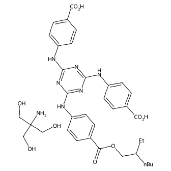 CCCCC(CC)COC(=O)c1ccc(Nc2nc(Nc3ccc(C(=O)O)cc3)nc(Nc3ccc(C(=O)O)cc3)n2)cc1.NC(CO)(CO)CO